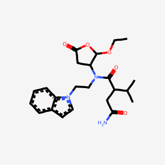 CCOC1OC(=O)CC1N(CCn1ccc2ccccc21)C(=O)C(CC(N)=O)C(C)C